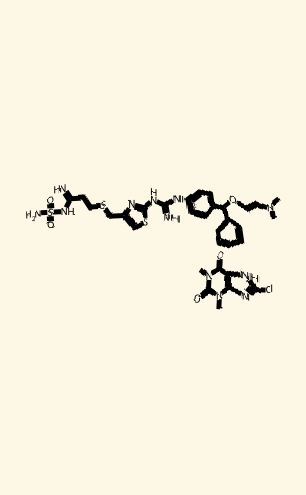 CN(C)CCOC(c1ccccc1)c1ccccc1.Cn1c(=O)c2[nH]c(Cl)nc2n(C)c1=O.N=C(N)Nc1nc(CSCCC(=N)NS(N)(=O)=O)cs1